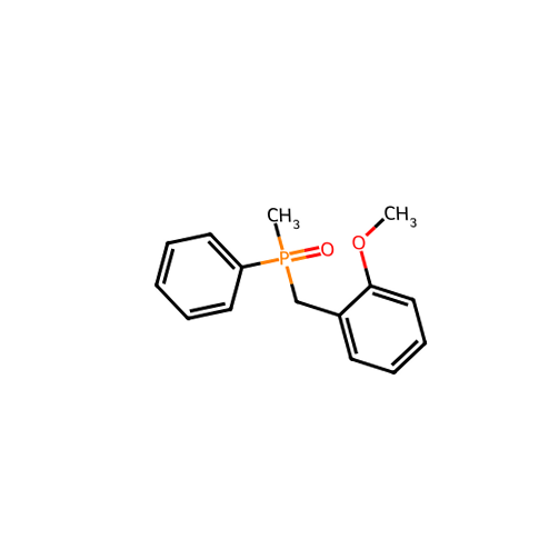 COc1ccccc1CP(C)(=O)c1ccccc1